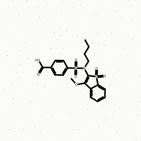 CCCCN(C1=C(OC)c2ccccc2S1(=O)=O)S(=O)(=O)c1ccc(C(=O)O)cc1